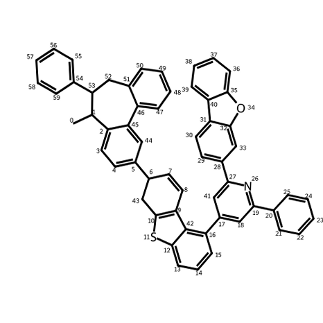 CC1c2ccc(C3C=Cc4c(sc5cccc(-c6cc(-c7ccccc7)nc(-c7ccc8c(c7)oc7ccccc78)c6)c45)C3)cc2-c2ccccc2CC1c1ccccc1